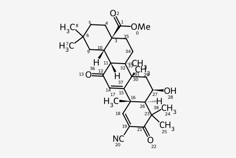 COC(=O)[C@]12CCC(C)(C)C[C@H]1[C@H]1C(=O)C=C3[C@@]4(C)C=C(C#N)C(=O)C(C)(C)[C@@H]4[C@H](O)C[C@@]3(C)[C@]1(C)CC2